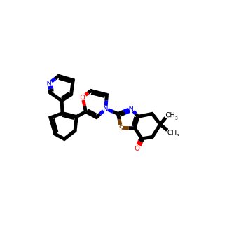 CC1(C)CC(=O)c2sc(N3C=COC(C4=C(c5cccnc5)C=CCC4)=C3)nc2C1